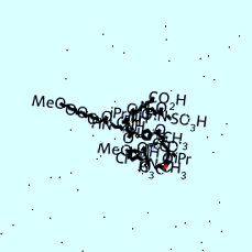 COCCOCCOCCOCCC(=O)NCCCC[C@H](NC(=O)[C@@H](NC(=O)CCN(CCC(=O)O)C(=O)CCC(=O)NCCS(=O)(=O)O)C(C)C)C(=O)NCc1ccc([C@H]2O[C@@H]2[C@@H](C)[C@@H]2C/C=C/C(=O)N[C@H](Cc3ccc(OC)c(Cl)c3)C(=O)NCC(C)(C)C(=O)O[C@@H](CC(C)C)C(=O)O2)cc1